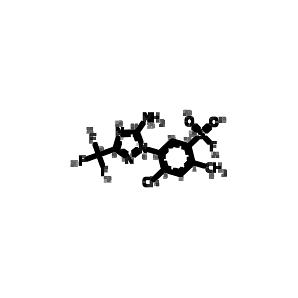 Cc1cc(Cl)c(-n2nc(C(F)(F)F)nc2N)cc1S(=O)(=O)F